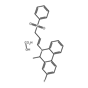 CC1c2cc(F)ccc2-c2ccccc2N1C=CCS(=O)(=O)c1ccccc1.O=C(O)O